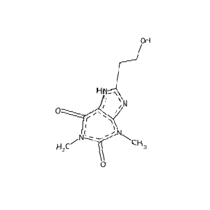 Cn1c(=O)c2[nH]c(CCO)nc2n(C)c1=O